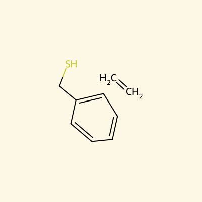 C=C.SCc1ccccc1